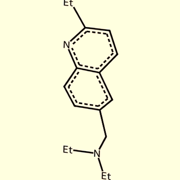 CCc1ccc2cc(CN(CC)CC)ccc2n1